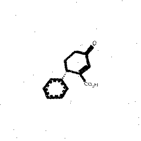 O=C1C=C(C(=O)O)[C@H](c2ccccc2)CC1